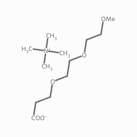 COCCOCCOCCC(=O)[O-].C[N+](C)(C)C